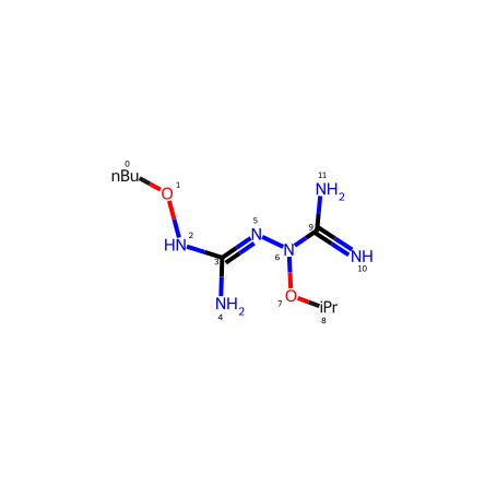 CCCCONC(N)=NN(OC(C)C)C(=N)N